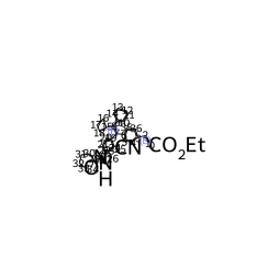 CCOC(=O)/C=C/c1ccc(/C(=C(\c2ccccc2)C2CCC2)c2ccc3c(c2C#N)CNN3C2CCCCO2)cc1